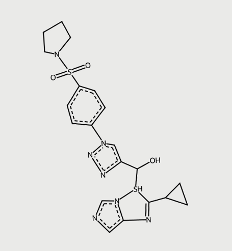 O=S(=O)(c1ccc(-n2cc(C(O)[SH]3C(C4CC4)=Nc4cncn43)nn2)cc1)N1CCCC1